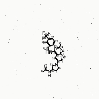 CC(=O)N[C@@H]1CCN(c2cnc3nc(C)nc(N[C@H](C)c4cccc(C(F)(F)F)c4C)c3c2)C1